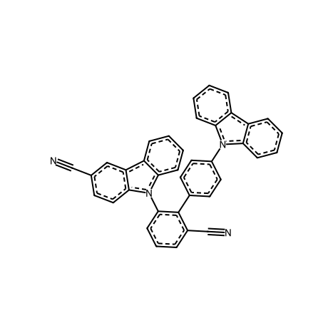 N#Cc1ccc2c(c1)c1ccccc1n2-c1cccc(C#N)c1-c1ccc(-n2c3ccccc3c3ccccc32)cc1